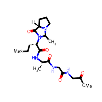 COC(=O)CNC(=O)CNC(=O)[C@H](C)NC(=O)[C@H](CCSC)N1C(=O)[C@@H]2CCCN2C1C